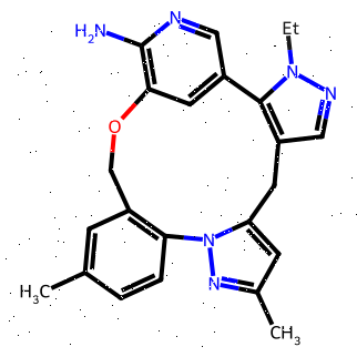 CCn1ncc2c1-c1cnc(N)c(c1)OCc1cc(C)ccc1-n1nc(C)cc1C2